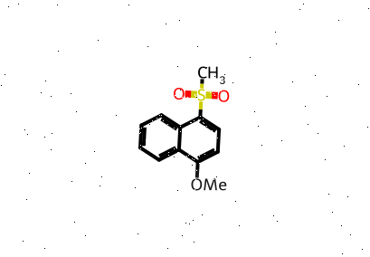 COc1ccc(S(C)(=O)=O)c2ccccc12